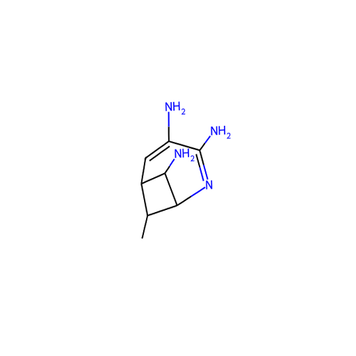 CC1C2C=C(N)C(N)=NC1C2N